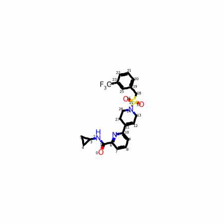 O=C(NC1CC1)c1cccc(C2=CCN(S(=O)(=O)Cc3cccc(C(F)(F)F)c3)CC2)n1